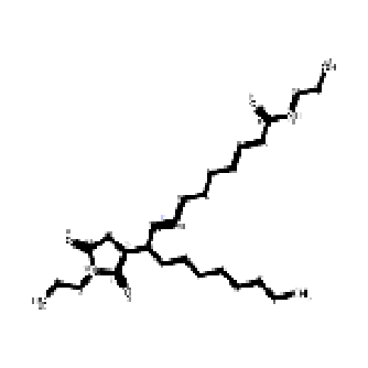 CCCCCCCCC(/C=C/CCCCCCC(=O)NCCO)C1CC(=O)N(CCO)C1=O